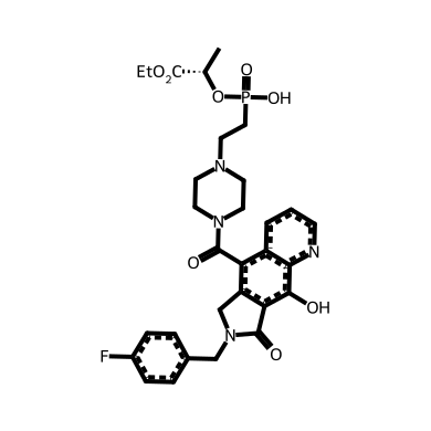 CCOC(=O)[C@H](C)OP(=O)(O)CCN1CCN(C(=O)c2c3c(c(O)c4ncccc24)C(=O)N(Cc2ccc(F)cc2)C3)CC1